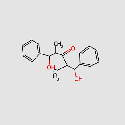 CC(C(=O)C(C)C(O)c1ccccc1)C(O)c1ccccc1